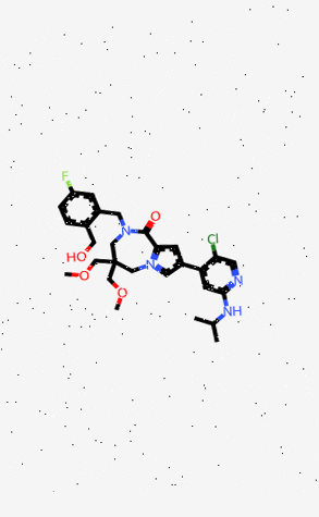 COCC1(COC)CN(Cc2cc(F)ccc2CO)C(=O)c2cc(-c3cc(NC(C)C)ncc3Cl)cn2C1